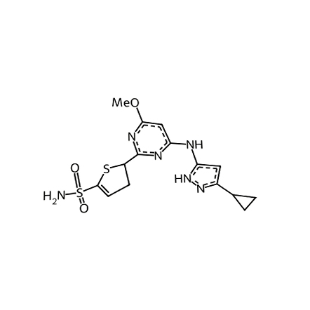 COc1cc(Nc2cc(C3CC3)n[nH]2)nc(C2CC=C(S(N)(=O)=O)S2)n1